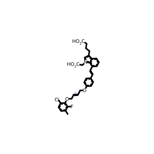 Cc1ccc(Cl)c(OC/C=C/COc2ccc(C=Cc3cccc4c(CCCC(=O)O)cn(CC(=O)O)c34)cc2)c1F